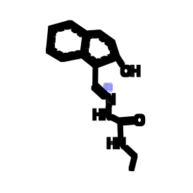 CCNC(=O)N/N=C/c1c(O)ccc2ccccc12